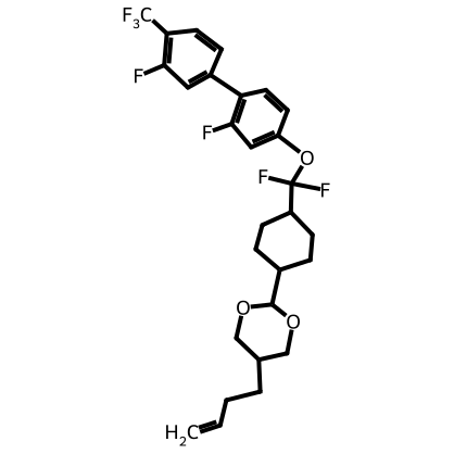 C=CCCC1COC(C2CCC(C(F)(F)Oc3ccc(-c4ccc(C(F)(F)F)c(F)c4)c(F)c3)CC2)OC1